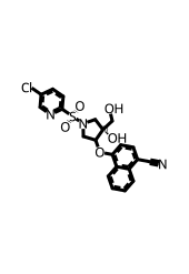 N#Cc1ccc(OC2CN(S(=O)(=O)c3ccc(Cl)cn3)C[C@@]2(O)CO)c2ccccc12